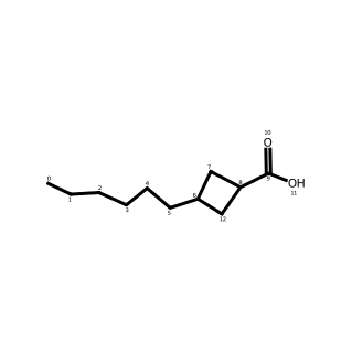 CCCCCCC1CC(C(=O)O)C1